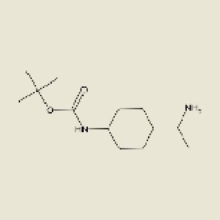 CC(N)C1CCC(NC(=O)OC(C)(C)C)CC1